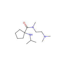 CC(C)NC1(C(=O)N(C)CCN(C)C)CCCC1